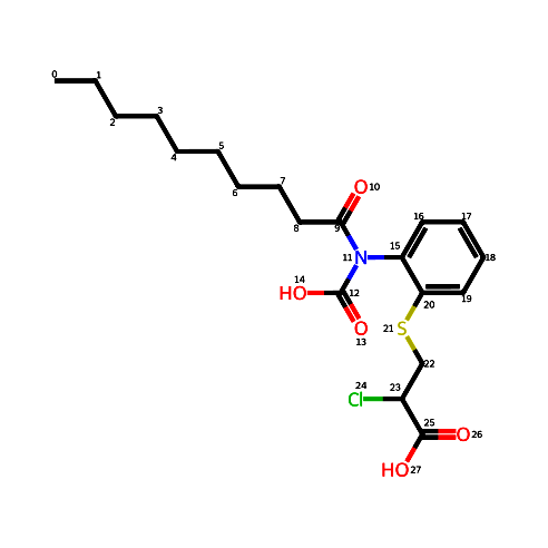 CCCCCCCCCC(=O)N(C(=O)O)c1ccccc1SCC(Cl)C(=O)O